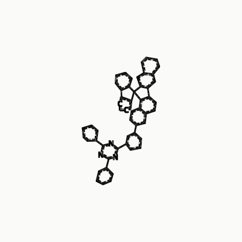 c1ccc(-c2nc(-c3ccccc3)nc(-c3cccc(-c4ccc5c6c(ccc5c4)-c4cc5ccccc5cc4C64c5ccccc5-c5ccccc54)c3)n2)cc1